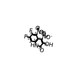 O=c1[nH]c2cc(F)c(F)c([N+](=O)[O-])c2c([N+](=O)[O-])c1O